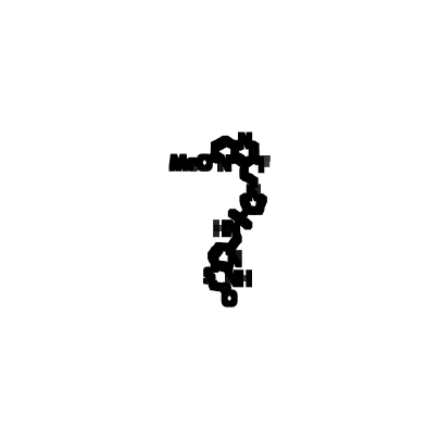 COc1ccc2ncc(F)c(CCN3CC[C@@H](C(C)(C)NCc4ccc5c(n4)NC(=O)CS5)C3)c2n1